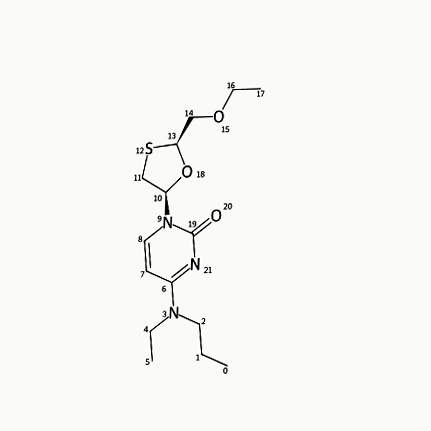 CCCN(CC)c1ccn([C@H]2CS[C@@H](COCC)O2)c(=O)n1